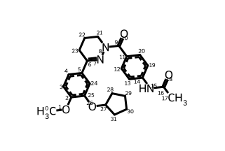 COc1ccc(C2=NN(C(=O)c3ccc(NC(C)=O)cc3)CCC2)cc1OC1CCCC1